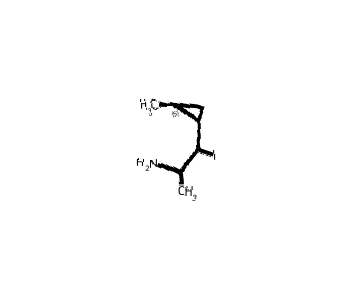 CC(N)C(I)C1C[C@@H]1C